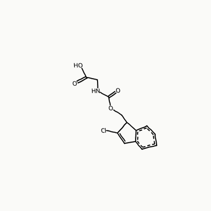 O=C(O)CNC(=O)OCC1C(Cl)=Cc2ccccc21